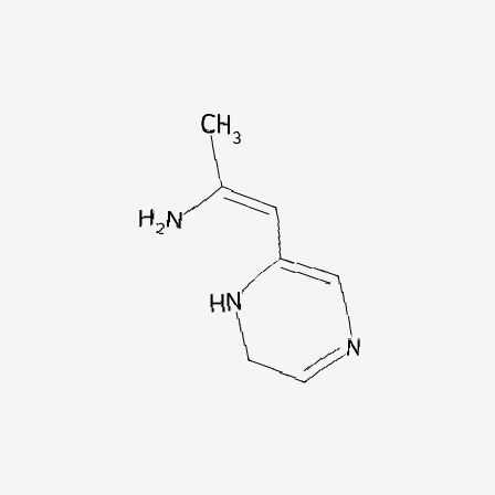 C/C(N)=C/C1=CN=CCN1